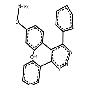 CCCCCCOc1ccc(-c2c(-c3ccccc3)nnnc2-c2ccccc2)c(O)c1